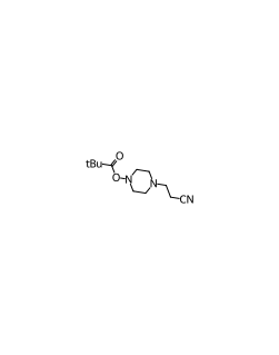 CC(C)(C)C(=O)ON1CCN(CCC#N)CC1